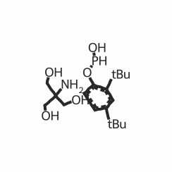 CC(C)(C)c1ccc(OPO)c(C(C)(C)C)c1.NC(CO)(CO)CO